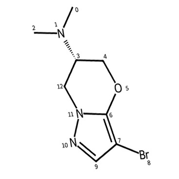 CN(C)[C@@H]1COc2c(Br)cnn2C1